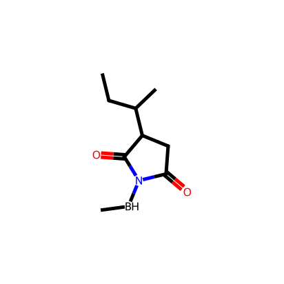 CBN1C(=O)CC(C(C)CC)C1=O